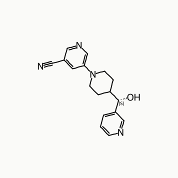 N#Cc1cncc(N2CCC([C@H](O)c3cccnc3)CC2)c1